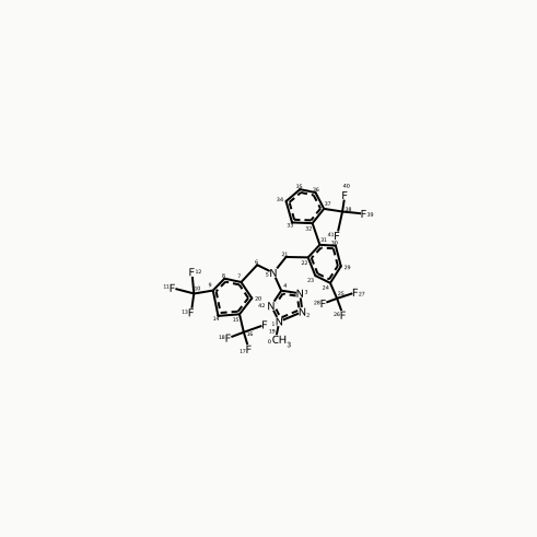 Cn1nnc(N(Cc2cc(C(F)(F)F)cc(C(F)(F)F)c2)Cc2cc(C(F)(F)F)ccc2-c2ccccc2C(F)(F)F)n1